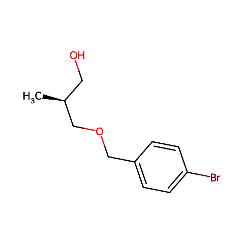 C[C@@H](CO)COCc1ccc(Br)cc1